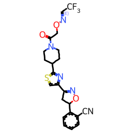 N#Cc1ccccc1C1CC(c2csc(C3CCN(C(=O)CO/N=C/C(F)(F)F)CC3)n2)=NO1